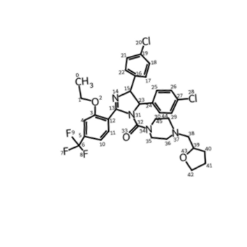 CCOc1cc(C(F)(F)F)ccc1C1=NC(c2ccc(Cl)cc2)C(c2ccc(Cl)cc2)N1C(=O)N1CCN(CC2CCCO2)CC1